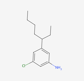 CCCCC(CC)c1cc(N)cc(Cl)c1